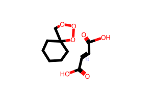 C1CCC2(CC1)COOO2.O=C(O)/C=C/C(=O)O